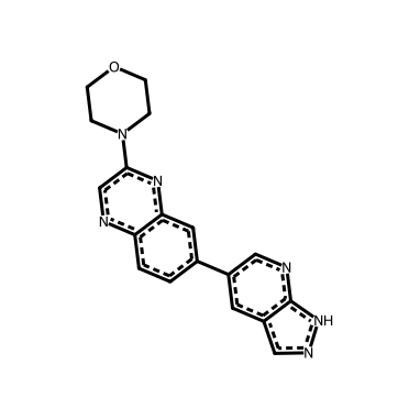 c1cc2ncc(N3CCOCC3)nc2cc1-c1cnc2[nH]ncc2c1